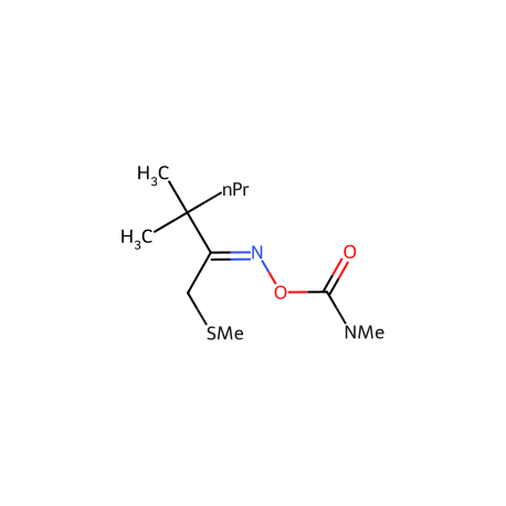 CCCC(C)(C)C(CSC)=NOC(=O)NC